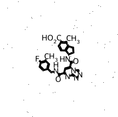 Cc1cc(CNC(=O)c2cc(C(=O)N[C@H]3CCc4c3ccc(C(=O)O)c4C)n3cnnc3n2)ccc1F